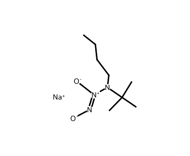 CCCCN([N+]([O-])=N[O-])C(C)(C)C.[Na+]